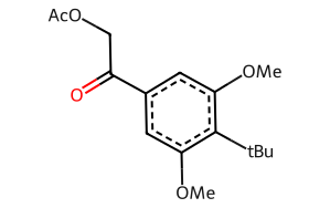 COc1cc(C(=O)COC(C)=O)cc(OC)c1C(C)(C)C